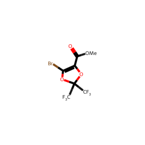 COC(=O)C1=C(Br)OC(C(F)(F)F)(C(F)(F)F)O1